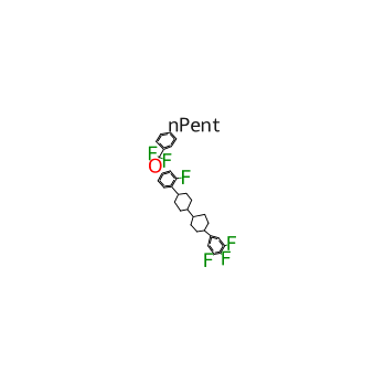 CCCCCc1ccc(C(F)(F)Oc2ccc(C3CCC(C4CCC(c5cc(F)c(F)c(F)c5)CC4)CC3)c(F)c2)cc1